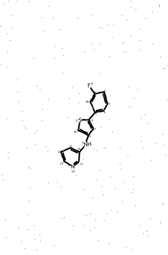 Fc1cccc(-c2cc(Nc3cccnc3)cs2)c1